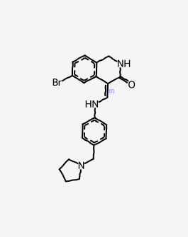 O=C1NCc2ccc(Br)cc2/C1=C\Nc1ccc(CN2CCCC2)cc1